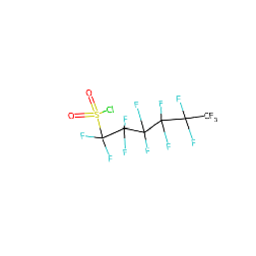 O=S(=O)(Cl)C(F)(F)C(F)(F)C(F)(F)C(F)(F)C(F)(F)C(F)(F)F